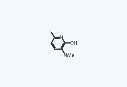 CNc1ccc(I)nc1O